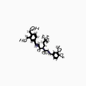 COc1ccc(/C=C/C(O)=C(\CCC(F)(F)F)C(=O)/C=C/c2ccc(CO)c(CO)c2)cc1OC